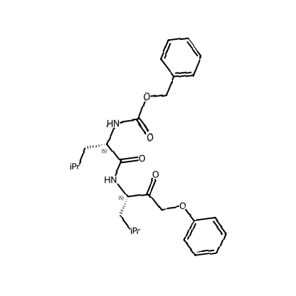 CC(C)C[C@H](NC(=O)[C@H](CC(C)C)NC(=O)OCc1ccccc1)C(=O)COc1ccccc1